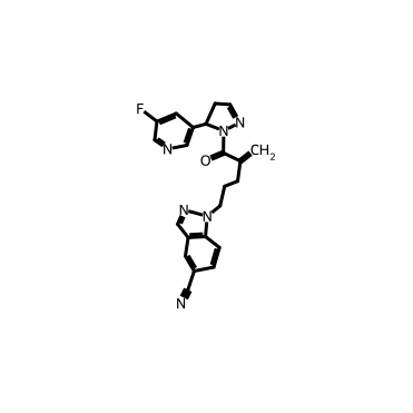 C=C(CCCn1ncc2cc(C#N)ccc21)C(=O)N1N=CCC1c1cncc(F)c1